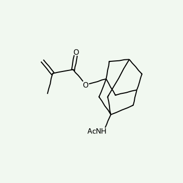 C=C(C)C(=O)OC12CC3CC(CC(NC(C)=O)(C3)C1)C2